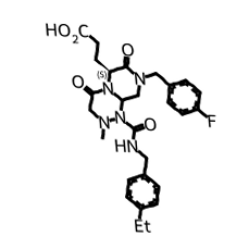 CCc1ccc(CNC(=O)N2C3CN(Cc4ccc(F)cc4)C(=O)[C@H](CCC(=O)O)N3C(=O)CN2C)cc1